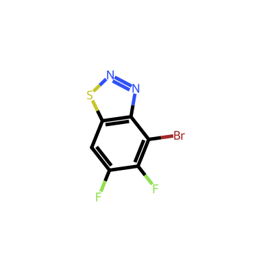 Fc1cc2snnc2c(Br)c1F